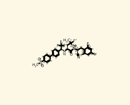 CC(C)(F)C[C@H](N[C@@H](c1ccc(-c2ccc(S(C)(=O)=O)cc2)cc1)C(F)(F)F)C(=O)N[C@H](C#N)Cc1c(F)cc(Br)cc1F